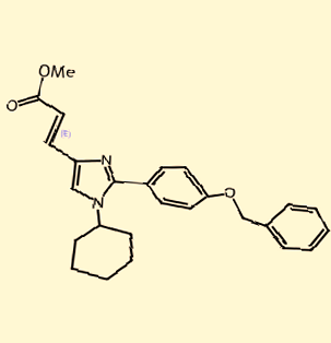 COC(=O)/C=C/c1cn(C2CCCCC2)c(-c2ccc(OCc3ccccc3)cc2)n1